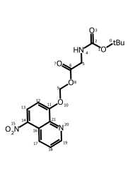 CC(C)(C)OC(=O)NCC(=O)OCOc1ccc([N+](=O)[O-])c2cccnc12